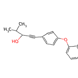 CC(C)C(O)C#Cc1ccc(Oc2ccccc2Cl)cc1